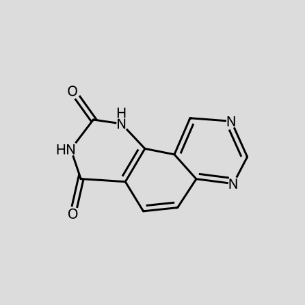 O=c1[nH]c(=O)c2ccc3ncncc3c2[nH]1